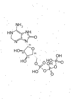 NC1=c2[nH]c(=O)n([C@@H]3O[C@H](COP(=O)(O)OP(=O)(O)OP(=O)(O)O)[C@@H](O)[C@H]3O)c2=NCN1